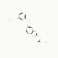 COC(=O)Nc1nc2cc(OS(=O)(=O)c3cccc(OC)c3)ccc2[nH]1